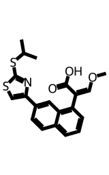 COC=C(C(=O)O)c1cccc2ccc(-c3csc(SC(C)C)n3)cc12